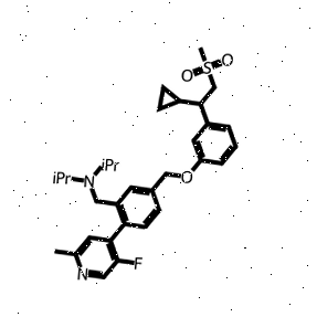 Cc1cc(-c2ccc(COc3cccc(C(CS(C)(=O)=O)C4CC4)c3)cc2CN(C(C)C)C(C)C)c(F)cn1